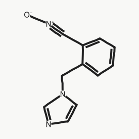 [O-][N+]#Cc1ccccc1Cn1ccnc1